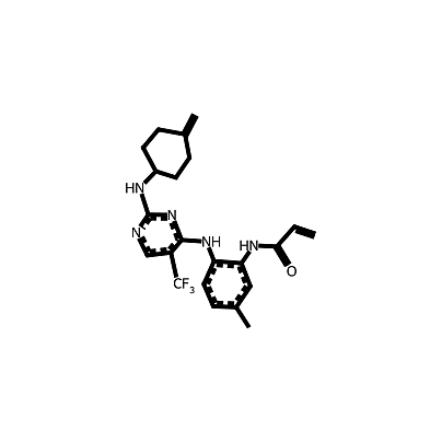 C=CC(=O)Nc1cc(C)ccc1Nc1nc(NC2CCC(=C)CC2)ncc1C(F)(F)F